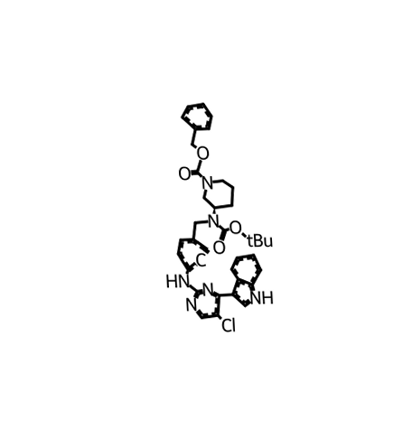 CC(C)(C)OC(=O)N(Cc1ccc(Nc2ncc(Cl)c(-c3c[nH]c4ccccc34)n2)cc1)[C@@H]1CCCN(C(=O)OCc2ccccc2)C1